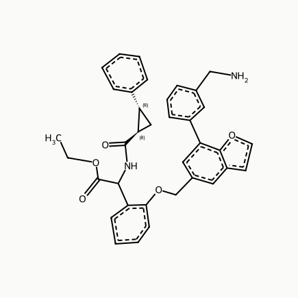 CCOC(=O)C(NC(=O)[C@@H]1C[C@H]1c1ccccc1)c1ccccc1OCc1cc(-c2cccc(CN)c2)c2occc2c1